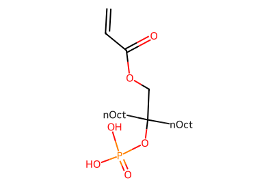 C=CC(=O)OCC(CCCCCCCC)(CCCCCCCC)OP(=O)(O)O